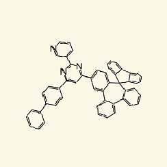 c1ccc(-c2ccc(-c3cc(-c4ccc5c(c4)-c4ccccc4-c4ccccc4C54c5ccccc5-c5ccccc54)nc(-c4cccnc4)n3)cc2)cc1